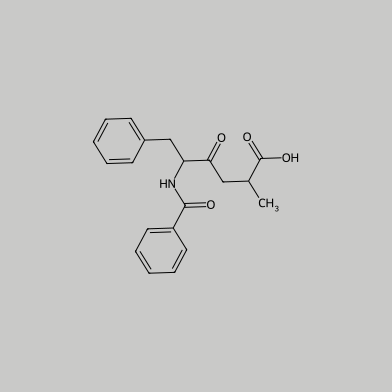 CC(CC(=O)C(Cc1ccccc1)NC(=O)c1ccccc1)C(=O)O